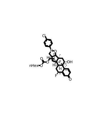 CCCCCCOC(=O)OCC(=O)[C@@]12ON(c3ccc(Cl)cc3)C[C@@H]1C[C@H]1[C@@H]3C[C@H](F)C4=CC(=O)C=C[C@]4(C)[C@@]3(F)[C@@H](O)C[C@@]12C